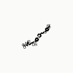 O=[N+]([O-])c1cn(CCC(O)COc2ccc(N3CCC(CCCOc4ccc(C(F)(F)F)cc4)CC3)cc2)c(Cl)n1